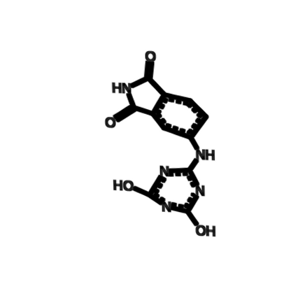 O=C1NC(=O)c2cc(Nc3nc(O)nc(O)n3)ccc21